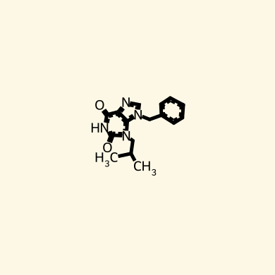 CC(C)Cn1c(=O)[nH]c(=O)c2ncn(Cc3ccccc3)c21